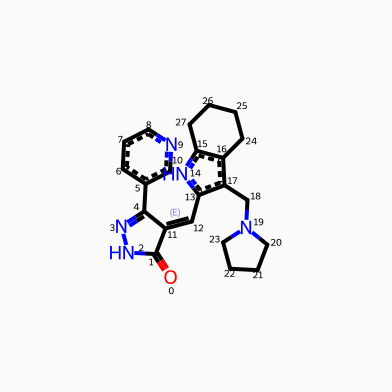 O=C1NN=C(c2cccnc2)/C1=C\c1[nH]c2c(c1CN1CCCC1)CCCC2